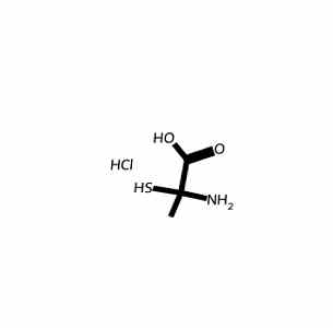 CC(N)(S)C(=O)O.Cl